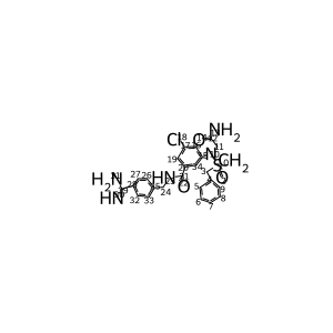 C=S(=O)(Cc1ccccc1)N(CC(N)=O)c1cc(Cl)cc(C(=O)NCc2ccc(C(=N)N)cc2)c1